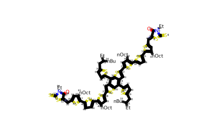 CCCCCCCCc1cc(/C=C2\SC(=S)N(CC)C2=O)sc1-c1ccc(-c2sc(-c3cc4c(-c5ccc(CC(CC)CCCC)s5)c5sc(-c6cc(CCCCCCCC)c(-c7ccc(-c8sc(/C=C9/SC(=S)N(CC)C9=O)cc8CCCCCCCC)s7)s6)cc5c(-c5ccc(CC(CC)CCCC)s5)c4s3)cc2CCCCCCCC)s1